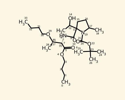 CCCCOC(=O)[C@@H](NC(=O)C1(C(C)O)CCC(C)N1C(=O)OC(C)(C)C)[C@@H](C)OCCCC